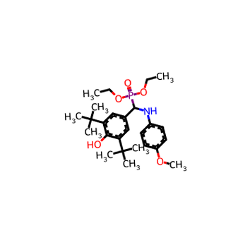 CCOP(=O)(OCC)C(Nc1ccc(OC)cc1)c1cc(C(C)(C)C)c(O)c(C(C)(C)C)c1